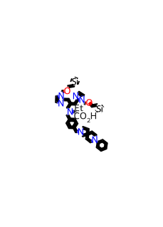 CCC(C(=O)O)N(Cc1ccc(CN2CCC3(CCN(C4CCCCC4)CC3)C2)cc1)CC(Cc1nccn1COCC[Si](C)(C)C)Cc1nccn1COCC[Si](C)(C)C